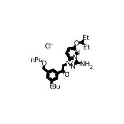 CCCOCc1cc(C(=O)C[n+]2nc(N)n3nc(OC(CC)CC)ccc32)cc(C(C)(C)C)c1.[Cl-]